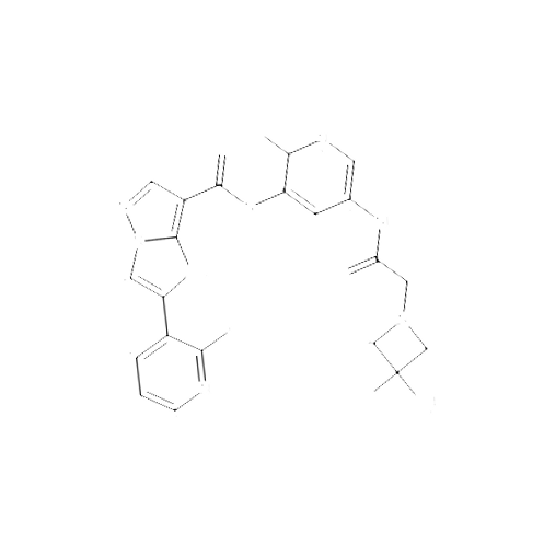 Cc1ncccc1-c1cn2ncc(C(=O)NC3=CC(NC(=O)CN4CC(C)(C)C4)=CNC3C)c2s1